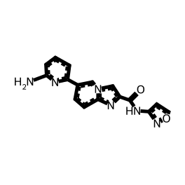 Nc1cccc(-c2ccc3nc(C(=O)Nc4ccon4)cn3c2)n1